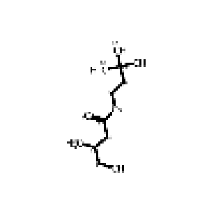 CCC(C)CC(=O)OCCC(C)(C)C